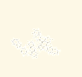 c1cc(-c2nc3ccccc3o2)cc(-c2c3ccccc3c(-c3ccc4c(-c5ccc6ccccc6c5)c5ccccc5c(-c5ccc6ccccc6c5)c4c3)c3ccccc23)c1